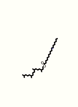 CCCCCC/C=C/CCCCCCCCCC(=O)OCCC(C)CCCC(C)CCCC(C)CCCC(C)C